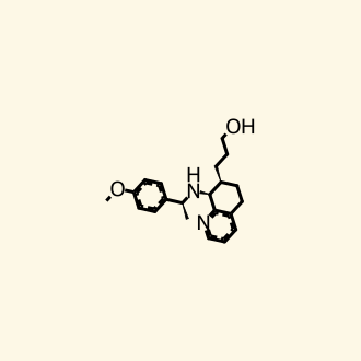 COc1ccc([C@H](C)N[C@@H]2c3ncccc3CC[C@@H]2CCCO)cc1